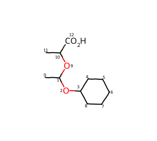 CC(OC1CCCCC1)OC(C)C(=O)O